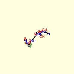 Cc1ncsc1-c1ccc(C(C)(O)NC(=O)[C@@H]2C[C@@H](O)CN2C(=O)[C@@H](NC(=O)CCCCCCNC(=O)COc2c(-c3csc(N4CCOCC4)n3)ccc(F)c2F)C(C)(C)C)cc1